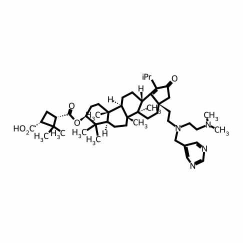 CC(C)C1=C2[C@H]3CC[C@@H]4[C@@]5(C)CC[C@H](OC(=O)[C@H]6C[C@@H](C(=O)O)C6(C)C)C(C)(C)[C@@H]5CC[C@@]4(C)[C@]3(C)CC[C@@]2(CCN(CCN(C)C)Cc2cncnc2)CC1=O